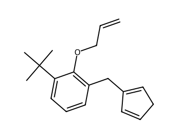 C=CCOc1c(CC2=CCC=C2)cccc1C(C)(C)C